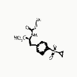 CC(C)(C)OC(=O)N[C@@H](Cc1ccc(S(=O)(=O)C2CC2)cc1)C(=O)O